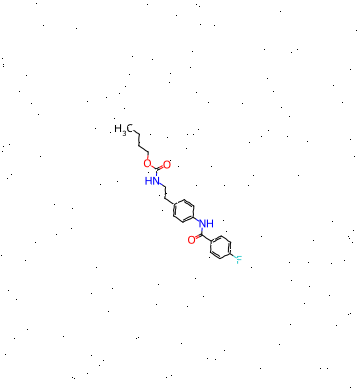 CCCCOC(=O)NCCc1ccc(NC(=O)c2ccc(F)cc2)cc1